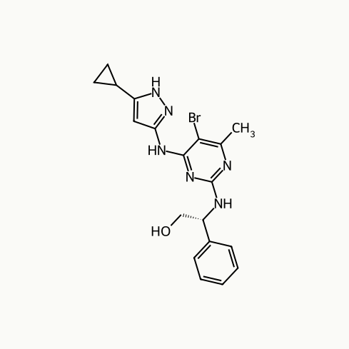 Cc1nc(N[C@@H](CO)c2ccccc2)nc(Nc2cc(C3CC3)[nH]n2)c1Br